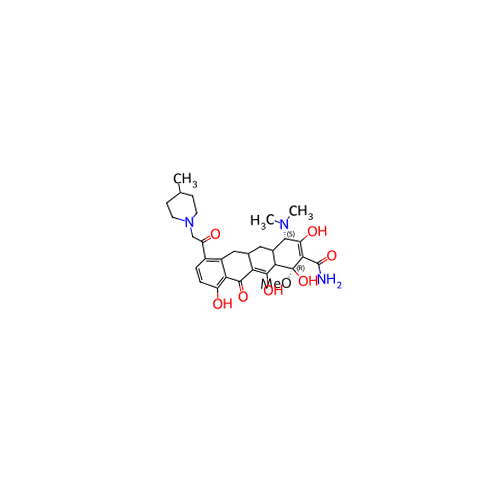 CO[C@@]1(O)C(C(N)=O)=C(O)[C@@H](N(C)C)C2CC3Cc4c(C(=O)CN5CCC(C)CC5)ccc(O)c4C(=O)C3=C(O)C21